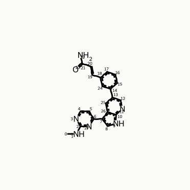 CNc1nccc(-c2c[nH]c3ncc(-c4cccc(C=CC(N)=O)c4)cc23)n1